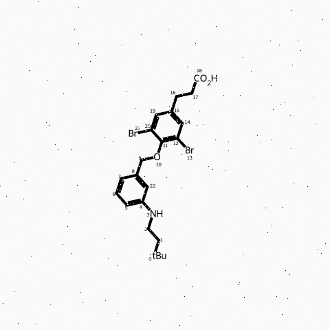 CC(C)(C)CCNc1cccc(COc2c(Br)cc(CCC(=O)O)cc2Br)c1